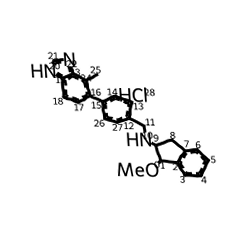 COC1c2ccccc2CC1NCc1ccc(-c2ccc3[nH]cnc3c2C)cc1.Cl